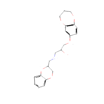 OC(CNCC1COc2ccccc2O1)COc1ccc2c(c1)OCCCO2